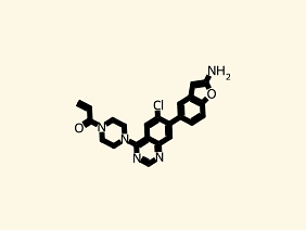 C=CC(=O)N1CCN(c2ncnc3cc(-c4ccc5oc(N)cc5c4)c(Cl)cc23)CC1